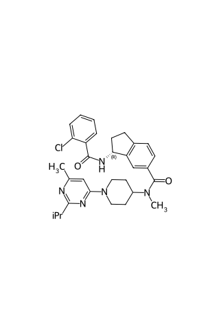 Cc1cc(N2CCC(N(C)C(=O)c3ccc4c(c3)[C@H](NC(=O)c3ccccc3Cl)CC4)CC2)nc(C(C)C)n1